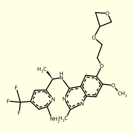 COc1cc2nc(C)nc(N[C@H](C)c3cc(C(F)(F)F)cc(N)n3)c2cc1OCCOC1COC1